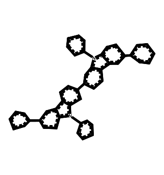 c1ccc(-c2ccc3c(c2)c2ccc(-c4ccc5c6cc(-c7ccccc7)ccc6n(-c6ccccc6)c5c4)cc2n3-c2ccccc2)cc1